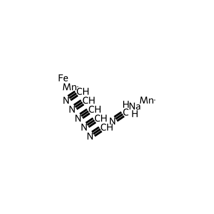 C#N.C#N.C#N.C#N.C#N.C#N.[Fe].[Mn].[Mn].[NaH]